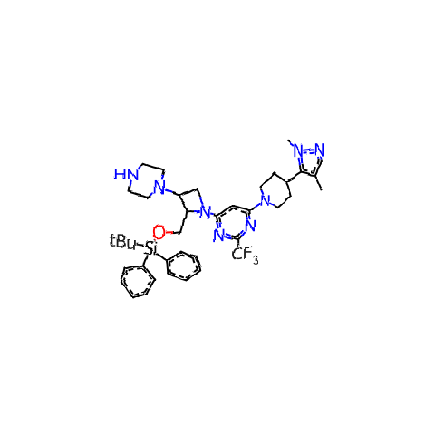 Cc1cnn(C)c1C1CCN(c2cc(N3CC(N4CCNCC4)C3CO[Si](c3ccccc3)(c3ccccc3)C(C)(C)C)nc(C(F)(F)F)n2)CC1